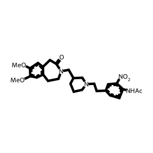 COc1cc2c(cc1OC)CC(=O)N(CC1CCCN(CCc3ccc(NC(C)=O)c([N+](=O)[O-])c3)C1)CC2